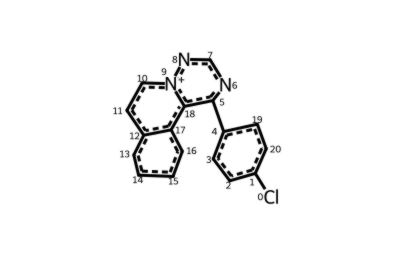 Clc1ccc(-c2ncn[n+]3ccc4ccccc4c23)cc1